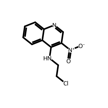 O=[N+]([O-])c1cnc2ccccc2c1NCCCl